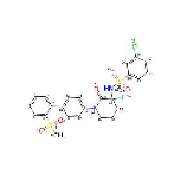 CS(=O)(=O)c1ccccc1-c1ccc(N2CCCC(F)(NS(=O)(=O)c3cccc(Cl)c3)C2=O)cc1